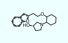 O[C@@H]1CCN(C2CCCCC2OCCc2cc3ccccc3o2)C1